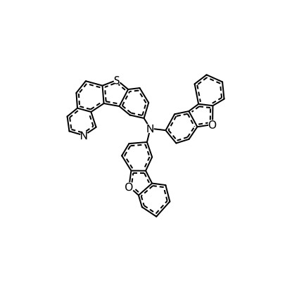 c1ccc2c(c1)oc1ccc(N(c3ccc4oc5ccccc5c4c3)c3ccc4sc5ccc6ccncc6c5c4c3)cc12